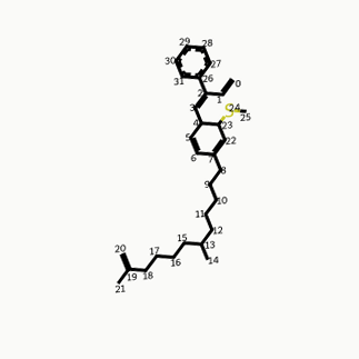 C=C/C(=C\C1C=CC(CCCCCC(C)CCCCC(=C)C)=CC1SC)c1ccccc1